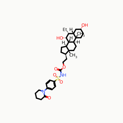 CC[C@H]1[C@@H](O)[C@@H]2[C@H](CC[C@]3(C)[C@@H](CCOC(=O)NS(=O)(=O)c4ccc(N5CCCCC5=O)cc4)CC[C@@H]23)[C@@]2(C)CC[C@@H](O)C[C@@H]12